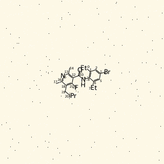 CCc1cc(Br)cc(CC)c1NC(=O)c1c(C)nc(C)c(CC(C)C)c1F